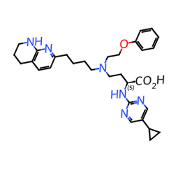 O=C(O)[C@H](CCN(CCCCc1ccc2c(n1)NCCC2)CCOc1ccccc1)Nc1ncc(C2CC2)cn1